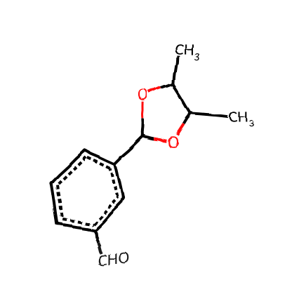 CC1OC(c2cccc(C=O)c2)OC1C